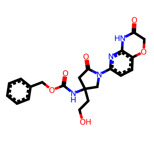 O=C1COc2ccc(N3CC(CCO)(NC(=O)OCc4ccccc4)CC3=O)nc2N1